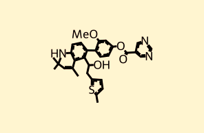 COc1cc(OC(=O)c2cncnc2)ccc1-c1ccc2c(c1C(O)Cc1ccc(C)s1)C(C)=CC(C)(C)N2